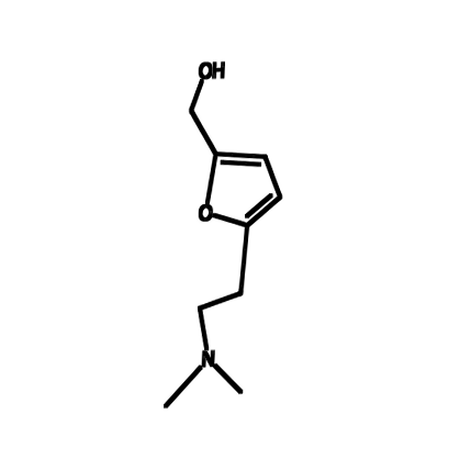 CN(C)CCc1ccc(CO)o1